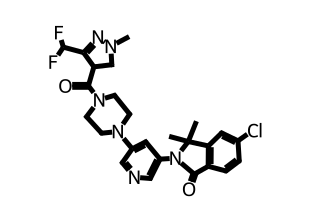 CN1CC(C(=O)N2CCN(c3cncc(N4C(=O)c5ccc(Cl)cc5C4(C)C)c3)CC2)C(C(F)F)=N1